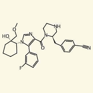 COC[C@]1(O)CCCC[C@H]1n1cnc(C(=O)N2CCNC[C@H]2Cc2ccc(C#N)cc2)c1-c1cccc(F)c1